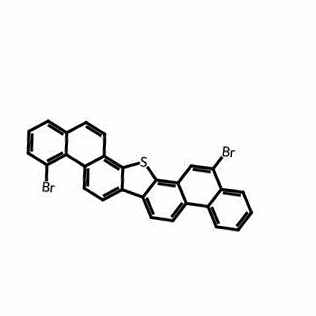 Brc1cc2c(ccc3c4ccc5c(ccc6cccc(Br)c65)c4sc23)c2ccccc12